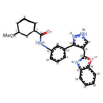 COC1CCCC(C(=O)Nc2cccc(-c3n[nH]cc3-c3nc4ccccc4o3)c2)C1